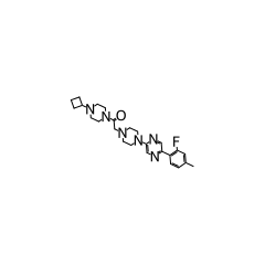 Cc1ccc(-c2cnc(N3CCN(CC(=O)N4CCN(C5CCC5)CC4)CC3)cn2)c(F)c1